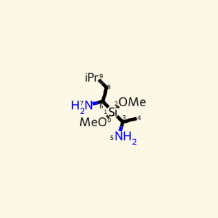 CO[Si](OC)(C(C)N)C(N)CC(C)C